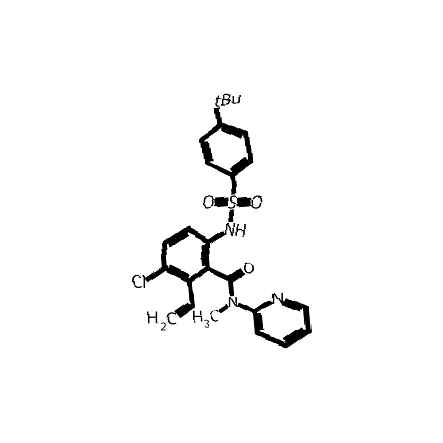 C=Cc1c(Cl)ccc(NS(=O)(=O)c2ccc(C(C)(C)C)cc2)c1C(=O)N(C)c1ccccn1